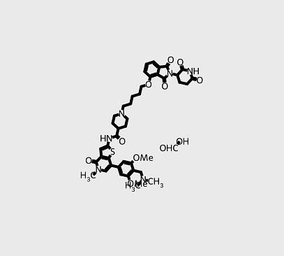 COc1cc(-c2cn(C)c(=O)c3cc(NC(=O)C4CCN(CCCCCOc5cccc6c5C(=O)N(C5CCC(=O)NC5=O)C6=O)CC4)sc23)cc(OC)c1CN(C)C.O=CO